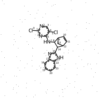 Clc1ncc(Cl)c(NC2C3C=CC(C3)C2c2nc3ccccc3[nH]2)n1